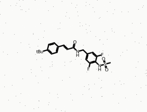 CC(C)(C)c1ccc(C=CC(=O)NCc2cc(F)c(NS(C)(=O)=O)c(F)c2)cc1